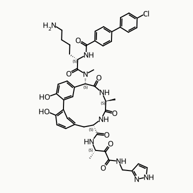 C[C@@H]1NC(=O)[C@@H](N(C)C(=O)[C@H](CCCCN)NC(=O)c2ccc(-c3ccc(Cl)cc3)cc2)c2ccc(O)c(c2)-c2cc(ccc2O)C[C@@H](C(=O)N[C@@H](C)C(=O)C(=O)NCc2cc[nH]n2)NC1=O